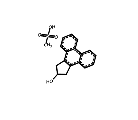 CS(=O)(=O)O.OC1Cc2c(c3ccccc3c3ccccc23)C1